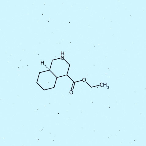 CCOC(=O)C1CNC[C@@H]2CCCCC12